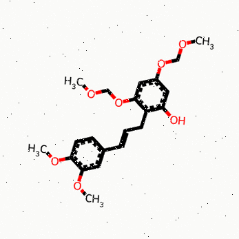 COCOc1cc(O)c(CC=Cc2ccc(OC)c(OC)c2)c(OCOC)c1